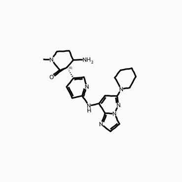 CN1CCC(N)[C@H](c2ccc(Nc3cc(N4CCCCC4)nn4ccnc34)nc2)C1=O